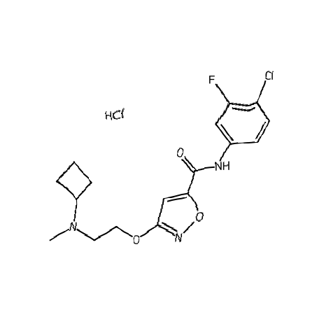 CN(CCOc1cc(C(=O)Nc2ccc(Cl)c(F)c2)on1)C1CCC1.Cl